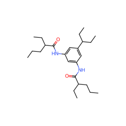 CCCC(CC)C(=O)Nc1cc(NC(=O)C(CC)CCC)cc(C(CC)CC)c1